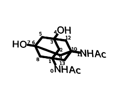 CC(=O)NC12CC3(O)CC(O)(C1)CC(NC(C)=O)(C3)C2